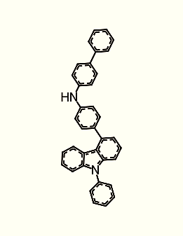 c1ccc(-c2ccc(Nc3ccc(-c4cccc5c4c4ccccc4n5-c4ccccc4)cc3)cc2)cc1